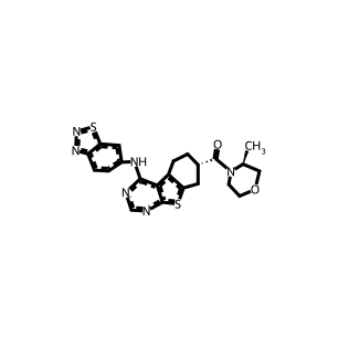 C[C@H]1COCCN1C(=O)[C@H]1CCc2c(sc3ncnc(Nc4ccc5nnsc5c4)c23)C1